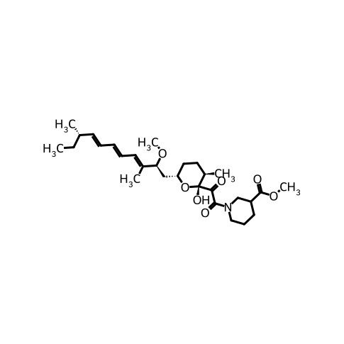 CC[C@H](C)/C=C/C=C/C=C(\C)[C@H](C[C@@H]1CC[C@@H](C)[C@](O)(C(=O)C(=O)N2CCCC(C(=O)OC)C2)O1)OC